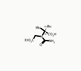 CCOC(=O)CN(C(N)=O)[C@@](C(=O)O)([C@@H](C)CC)C(C)(C)C